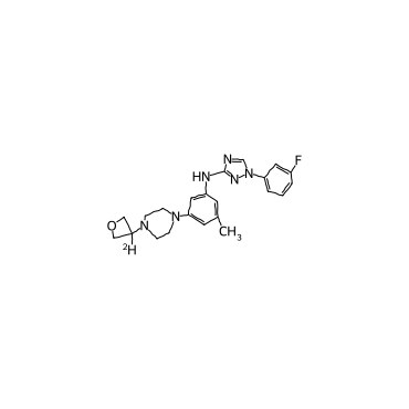 [2H]C1(N2CCN(c3cc(C)cc(Nc4ncn(-c5cccc(F)c5)n4)c3)CC2)COC1